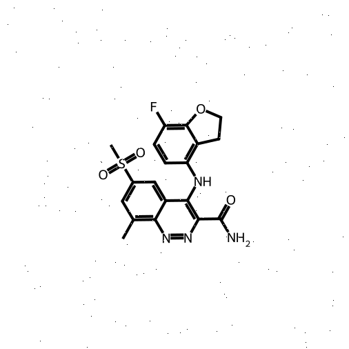 Cc1cc(S(C)(=O)=O)cc2c(Nc3ccc(F)c4c3CCO4)c(C(N)=O)nnc12